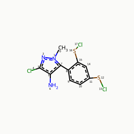 Cn1nc(Cl)c(N)c1-c1ccc(SCl)cc1SCl